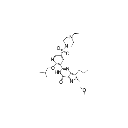 CCCc1c2nc(-c3cc(S(=O)(=O)N4CCN(CC)CC4)cnc3OCC(C)C)[nH]c(=O)c2nn1CCOC